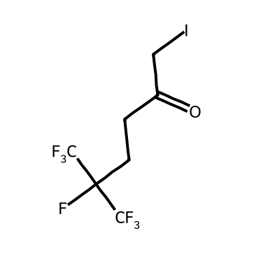 O=C(CI)CCC(F)(C(F)(F)F)C(F)(F)F